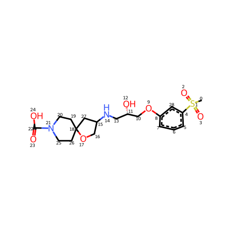 CS(=O)(=O)c1cccc(OC[C@@H](O)CNC2COC3(CCN(C(=O)O)CC3)C2)c1